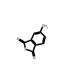 Cc1ccc2c(c1)C(=O)SC2=O